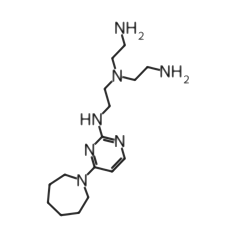 NCCN(CCN)CCNc1nccc(N2CCCCCC2)n1